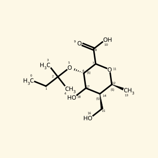 CCC(C)(C)O[C@@H]1C(C(=O)O)O[C@@H](C)[C@@H](CO)C1O